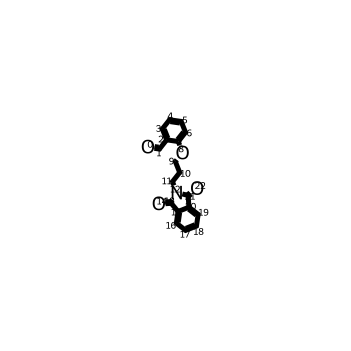 O=Cc1ccccc1OCCCN1C(=O)c2ccccc2C1=O